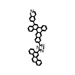 c1ccc2c(c1)ccc1c3ccccc3c(-c3ncnc(-c4ccc5cc6c(cc5c4)c4ccccc4c4cc(-c5ccc7cnccc7c5)c5ccccc5c46)n3)cc21